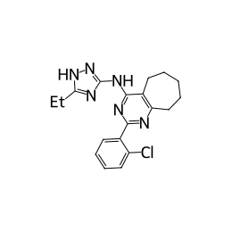 CCc1nc(Nc2nc(-c3ccccc3Cl)nc3c2CCCCC3)n[nH]1